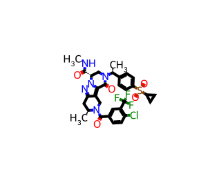 CNC(=O)[C@@H]1CN([C@H](C)c2ccc(S(=O)(=O)C3CC3)cc2)C(=O)c2c3c(nn21)C[C@@H](C)N(C(=O)c1ccc(Cl)c(C(F)(F)F)c1)C3